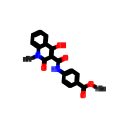 CCCCOC(=O)c1ccc(NC(=O)c2c(O)c3ccccc3n(CCC)c2=O)cc1